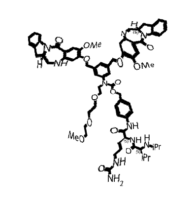 COCCOCCOCCN(C(=O)OCc1ccc(NC(=O)[C@H](CCCNC(N)=O)NC(=O)[C@@H](NC(C)C)C(C)C)cc1)c1cc(COc2cc3c(cc2OC)C(=O)N2c4ccccc4C[C@H]2C=N3)cc(COc2cc3c(cc2OC)C(=O)N2c4ccccc4C[C@H]2CN3)c1